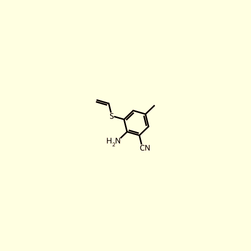 C=CSc1cc(C)cc(C#N)c1N